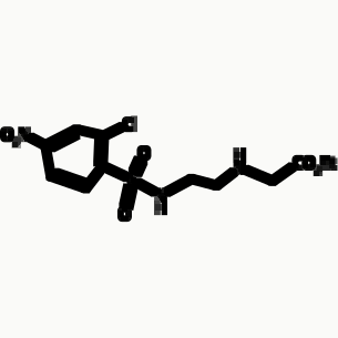 CCOC(=O)CNCCNS(=O)(=O)c1ccc([N+](=O)[O-])cc1Cl